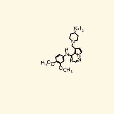 COc1ccc(Nc2ncnn3ccc(CN4CCC(N)CC4)c23)cc1OC